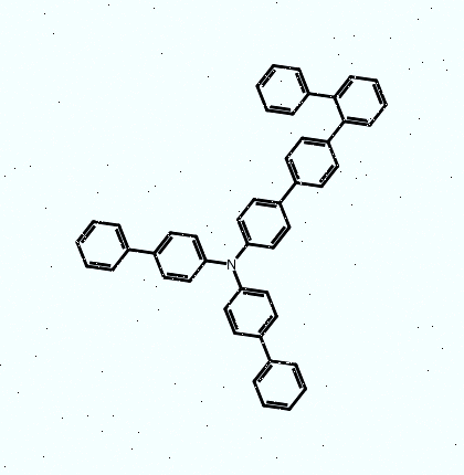 c1ccc(-c2ccc(N(c3ccc(-c4ccccc4)cc3)c3ccc(-c4ccc(-c5ccccc5-c5ccccc5)cc4)cc3)cc2)cc1